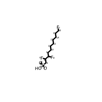 O=S(=O)(O)CC(F)C(F)CCCCCCCCF